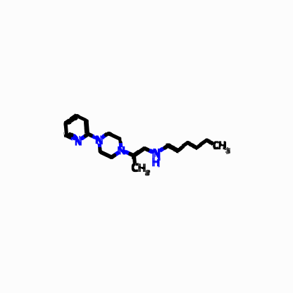 CCCCCCNCC(C)N1CCN(c2ccccn2)CC1